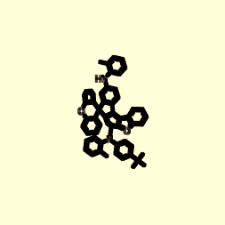 Cc1ccccc1Nc1ccc2c(c1)C1(c3ccccc3Oc3ccccc31)c1cc(N(c3ccc(C(C)(C)C)cc3)c3ccccc3C)c3oc4ccccc4c3c1-2